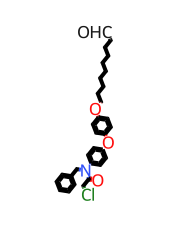 O=CCCCCCCCCCOc1ccc(Oc2ccc(N(Cc3ccccc3)C(=O)CCl)cc2)cc1